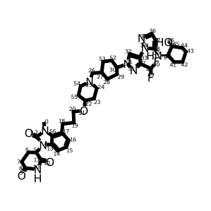 Cn1c(=O)n(C2CCC(=O)NC2=O)c2cccc(CCCOC3CCN(CC4CCC(n5cc(-n6nccc6N[C@@H]6CCCC[C@@H]6O)c(C(F)F)n5)CC4)CC3)c21